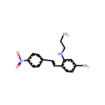 CCCNc1cc(C)ccc1C=Cc1ccc([N+](=O)[O-])cc1